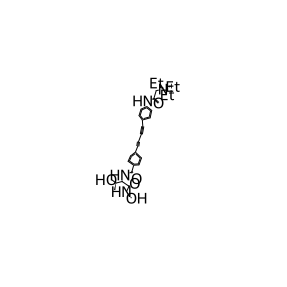 CC[N+](CC)(CC)CC(=O)Nc1ccc(C#CC#Cc2ccc(C(=O)N[C@H](C(=O)NO)[C@@H](C)O)cc2)cc1